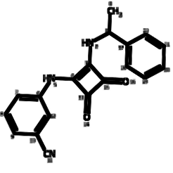 CC(Nc1c(Nc2cccc(C#N)c2)c(=O)c1=O)c1ccccc1